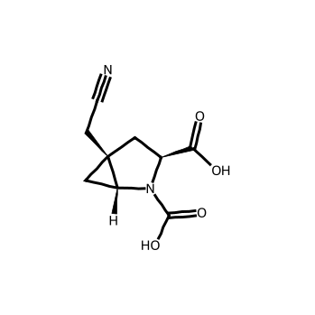 N#CC[C@@]12C[C@@H](C(=O)O)N(C(=O)O)[C@@H]1C2